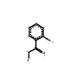 N=C(CF)c1ccccc1F